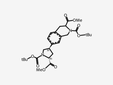 COC(=O)C1Cc2ccc([C@H]3C[C@H](C(=O)OC)N(C(=O)OC(C)(C)C)C3)cc2CN1C(=O)OC(C)(C)C